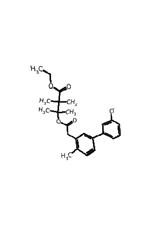 CCOC(=O)C(C)(C)C(C)(C)OC(=O)Cc1cc(-c2cccc(Cl)c2)ccc1C